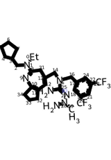 CCN(CC1CCCC1)C1=NC2=C(C=C(CN(Cc3cc(C(F)(F)F)cc(C(F)(F)F)c3)/C(N)=N/N(C)N)C1)CCC2